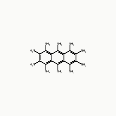 Nc1c(N)c(N)c2c(N)c3c(N)c(N)c(N)c(N)c3c(N)c2c1N